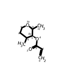 C=CC(=O)O[C@H]1C(C)CCOC1C